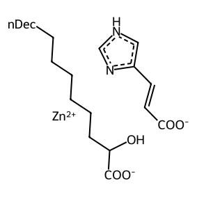 CCCCCCCCCCCCCCCCC(O)C(=O)[O-].O=C([O-])C=Cc1c[nH]cn1.[Zn+2]